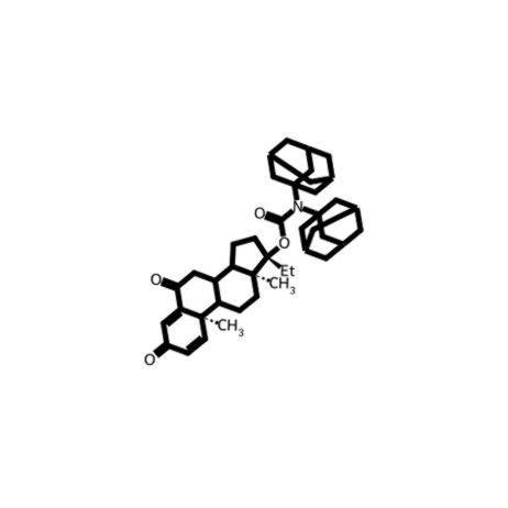 CC[C@]1(OC(=O)N(C23CC4CC(CC(C4)C2)C3)C23CC4CC(CC(C4)C2)C3)CCC2C3CC(=O)C4=CC(=O)C=C[C@]4(C)C3CC[C@@]21C